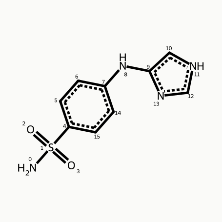 NS(=O)(=O)c1ccc(Nc2c[nH]cn2)cc1